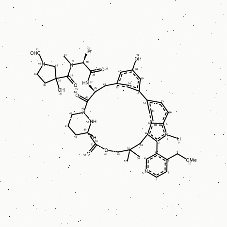 CCn1c(-c2cnccc2COC)c2c3cc(ccc31)-c1cc(O)cc(c1)C[C@H](NC(=O)[C@H](C(C)C)N(C)C(=O)C1(O)CCN(C=O)C1)C(=O)N1CCC[C@H](N1)C(=O)OCC(C)(C)C2